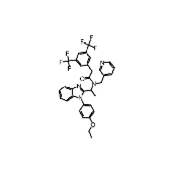 CCOc1ccc(-n2c(C(C)N(Cc3cccnc3)C(=O)Cc3cc(C(F)(F)F)cc(C(F)(F)F)c3)nc3ccccc32)cc1